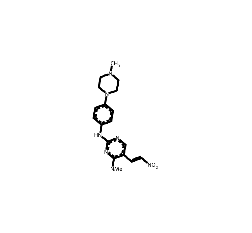 CNc1nc(Nc2ccc(N3CCN(C)CC3)cc2)ncc1/C=C/[N+](=O)[O-]